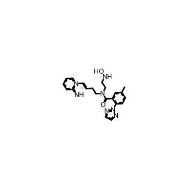 Cc1ccc(-n2nccn2)c(C(=O)N(CC/C=C/n2ccccc2=N)CCNO)c1